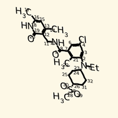 CCN(c1cc(Cl)cc(C(=O)NCc2c(C)cc(C)[nH]c2=O)c1C)[C@H]1CC[C@H](S(C)(=O)=O)CC1